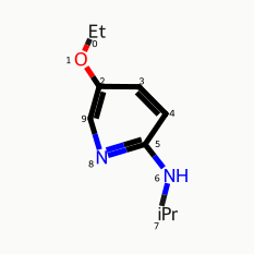 CCOc1ccc(NC(C)C)nc1